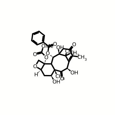 COC(=O)O[C@@]12CO[C@@H]1C[C@H](O)[C@@]1(C)C(=O)[C@H](O)C3=C(C)C(=O)C[C@@](O)([C@@H](OC(=O)c4ccccc4)C12)C3(C)C